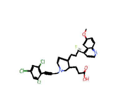 COc1ccc2nccc([C@@H](F)CCC3CCN(CC#Cc4c(Cl)cc(Cl)cc4Cl)CC3CCC(=O)O)c2c1